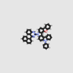 c1ccc(-n2c3ccccc3c3c4c5c6oc7ccccc7c6ccc5n(-c5nc(-c6cccc7ccccc67)c6ccccc6n5)c4ccc32)cc1